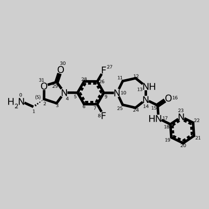 NC[C@H]1CN(c2cc(F)c(N3CCNN(C(=O)Nc4ccccn4)CC3)c(F)c2)C(=O)O1